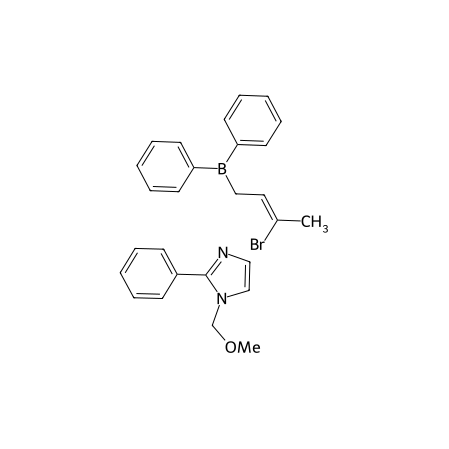 CC(Br)=CCB(c1ccccc1)c1ccccc1.COCn1ccnc1-c1ccccc1